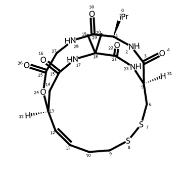 CC(C)[C@H]1NC(=O)[C@H]2CSSCCC=C[C@H](CC(=O)NC(C)(C)C(=O)N2)OC(=O)CNC1=O